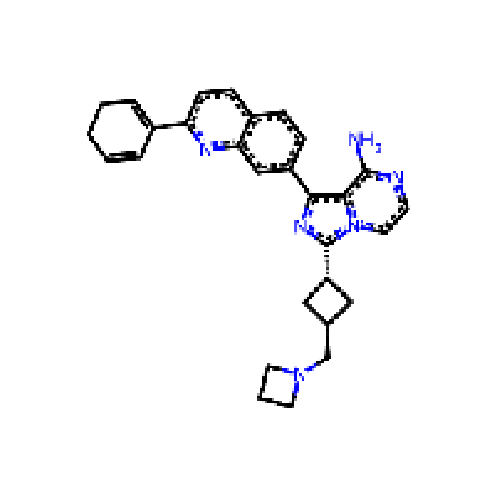 Nc1nccn2c1c(-c1ccc3ccc(C4=CCCC=C4)nc3c1)nc2[C@H]1C[C@H](CN2CCC2)C1